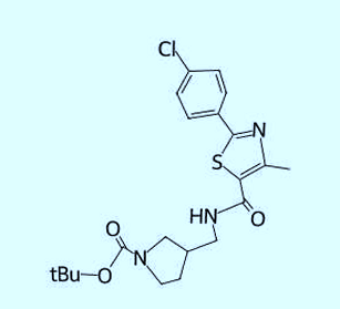 Cc1nc(-c2ccc(Cl)cc2)sc1C(=O)NCC1CCN(C(=O)OC(C)(C)C)C1